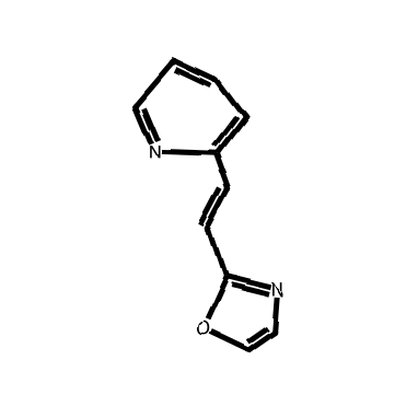 C(=Cc1ncco1)c1ccccn1